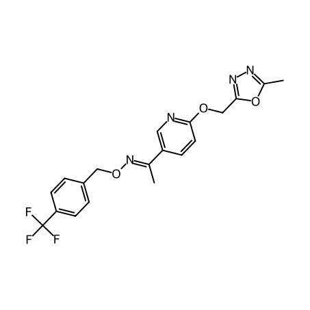 C/C(=N\OCc1ccc(C(F)(F)F)cc1)c1ccc(OCc2nnc(C)o2)nc1